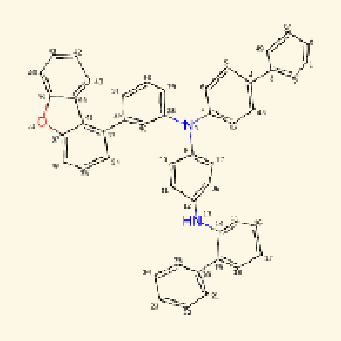 c1ccc(-c2ccc(N(c3ccc(Nc4ccccc4-c4ccccc4)cc3)c3cccc(-c4cccc5oc6ccccc6c45)c3)cc2)cc1